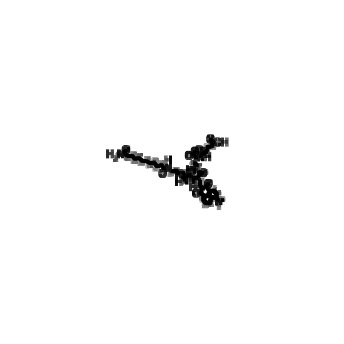 CN(C)c1ccc2c3c(cccc13)C(=O)C(CC[C@@H](NC(=O)[C@@H](N)CNCCNC(=O)CCCCCCCCCCC(N)=O)C(=O)NCC[C@@H](NC(=O)CCCC(=O)O)C(=O)O)C2=O